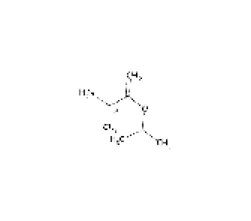 C=C(OC(C)C)[C@H](C)N